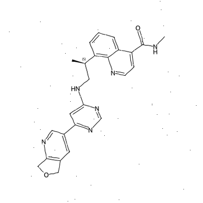 CNC(=O)c1ccnc2c([C@H](C)CNc3cc(-c4cnc5c(c4)COC5)ncn3)cccc12